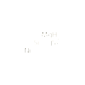 [Fe].[MgH2].[Ni].[Si]